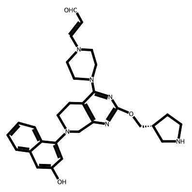 O=CC=CN1CCN(c2nc(OC[C@@H]3CCNC3)nc3c2CCN(c2cc(O)cc4ccccc24)C3)CC1